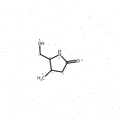 CC1CC(=O)NC1CO